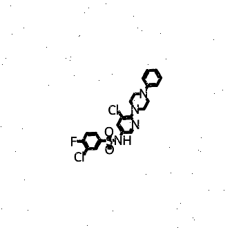 O=S(=O)(Nc1cnc(N2CCN(c3ccccc3)CC2)c(Cl)c1)c1ccc(F)c(Cl)c1